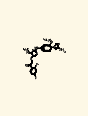 CNc1nc(Nc2ccc(-n3cnc(C)c3)c(OC)c2)ncc1OCC(=O)c1ccc(F)cc1Cl